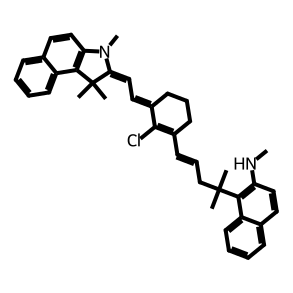 CNc1ccc2ccccc2c1C(C)(C)C/C=C/C1=C(Cl)C(=C/C=C2/N(C)c3ccc4ccccc4c3C2(C)C)/CCC1